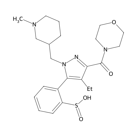 CCc1c(C(=O)N2CCOCC2)nn(CC2CCCN(C)C2)c1-c1ccccc1S(=O)O